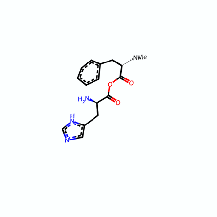 CN[C@@H](Cc1ccccc1)C(=O)OC(=O)[C@H](N)Cc1cnc[nH]1